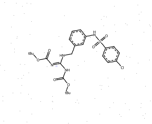 CC(C)(C)OC(=O)/N=C(\NCc1cccc(NS(=O)(=O)c2ccc(Cl)cc2)c1)NC(=O)OC(C)(C)C